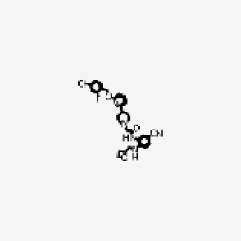 N#Cc1ccc(NCC2CCO2)c(NC(=O)CN2CCC(c3cccc(OCc4ccc(Cl)cc4F)n3)CC2)c1